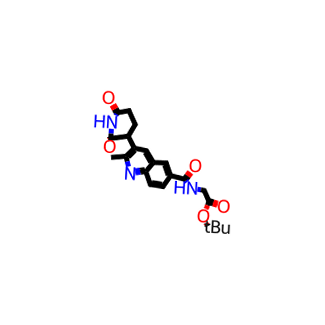 Cc1nc2ccc(C(=O)NCC(=O)OC(C)(C)C)cc2cc1C1CCC(=O)NC1=O